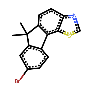 CC1(C)c2cc(Br)ccc2-c2c1ccc1ncsc21